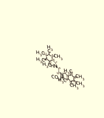 Cc1c(C)c(C)c(CNCCN(Cc2c(C)c(C)c(C)c(C)c2C)C(=O)O)c(C)c1C